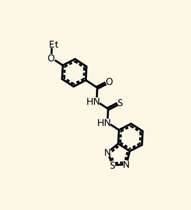 CCOc1ccc(C(=O)NC(=S)Nc2cccc3nsnc23)cc1